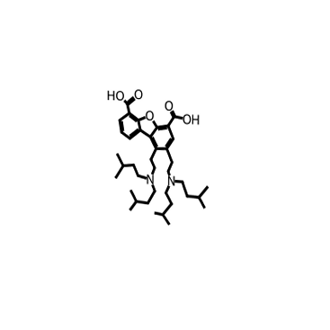 CC(C)CCN(CCc1cc(C(=O)O)c2oc3c(C(=O)O)cccc3c2c1CCN(CCC(C)C)CCC(C)C)CCC(C)C